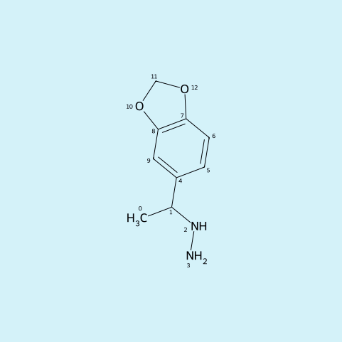 CC(NN)c1ccc2c(c1)OCO2